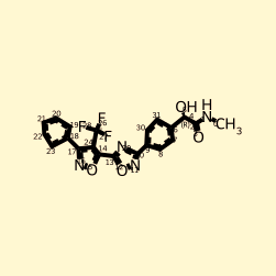 CNC(=O)[C@H](O)c1ccc(-c2noc(-c3onc(-c4ccccc4)c3C(F)(F)F)n2)cc1